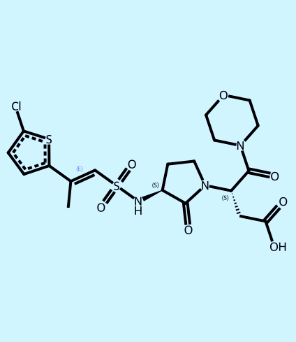 C/C(=C\S(=O)(=O)N[C@H]1CCN([C@@H](CC(=O)O)C(=O)N2CCOCC2)C1=O)c1ccc(Cl)s1